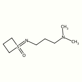 CN(C)CCCN=S1(=O)CCC1